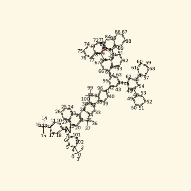 CC(C)(C)c1ccc(N(c2ccc(C(C)(C)C)cc2)c2cc3c(c4ccccc24)-c2cc4c(cc2C3(C)C)-c2ccc(-c3cc(-c5cc(-c6ccccc6)cc(-c6ccccc6)c5)cc(-c5ccc(-c6cccc7ccccc67)c6c(-c7cccc8ccccc78)cccc56)c3)cc2C4(C)C)cc1